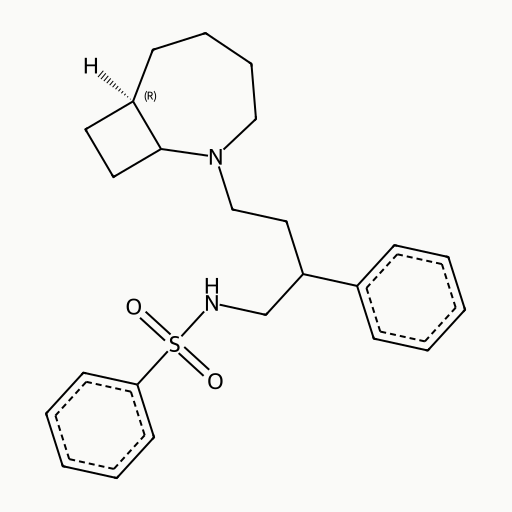 O=S(=O)(NCC(CCN1CCCC[C@@H]2CCC21)c1ccccc1)c1ccccc1